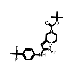 CC(C)(C)OC(=O)N1CCn2nc(Nc3ccc(C(F)(F)F)cc3)cc2C1.[Ar]